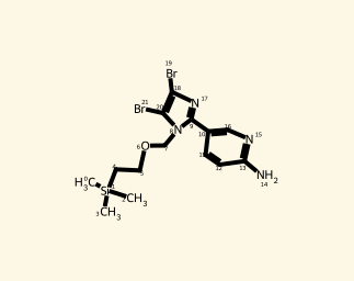 C[Si](C)(C)CCOCn1c(-c2ccc(N)nc2)nc(Br)c1Br